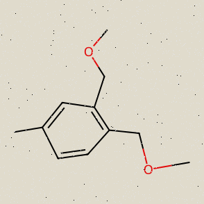 COCc1ccc(C)cc1COC